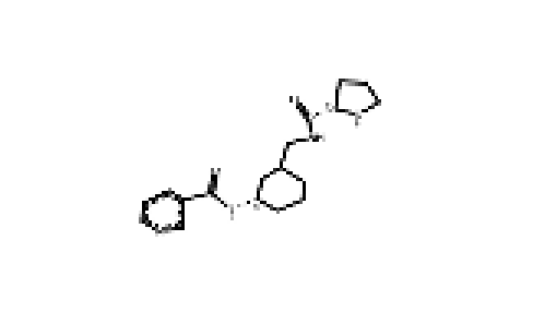 O=C(N[C@H]1CCCC(CNC(=O)[C@@H]2CCCN2)C1)c1cccnc1